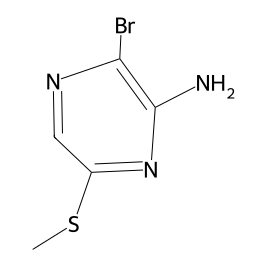 CSc1cnc(Br)c(N)n1